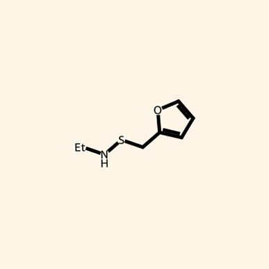 CCNSCc1ccco1